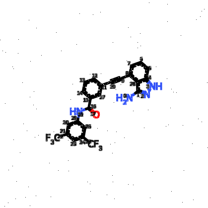 Nc1n[nH]c2cccc(C#Cc3cccc(C(=O)Nc4cc(C(F)(F)F)cc(C(F)(F)F)c4)c3)c12